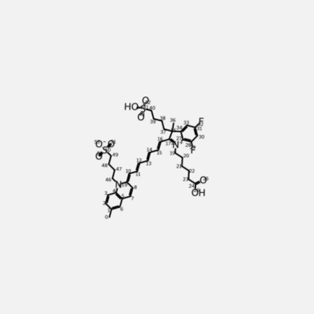 Cc1ccc2c(c1)C=C\C(=C/C=C/C=C/C=C/C1=[N+](CCCCCC(=O)O)c3c(F)cc(F)cc3C1(C)CCCCS(=O)(=O)O)N2CCCCS(=O)(=O)[O-]